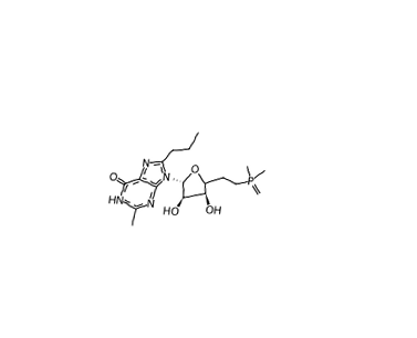 C=P(C)(C)CCC1O[C@@H](n2c(CCC)nc3c(=O)[nH]c(C)nc32)[C@H](O)[C@@H]1O